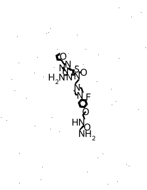 NCC(=O)NCCOc1ccc(N2CCN(CCn3c(=O)sc4c3nc(N)n3nc(-c5ccco5)nc43)CC2)c(F)c1